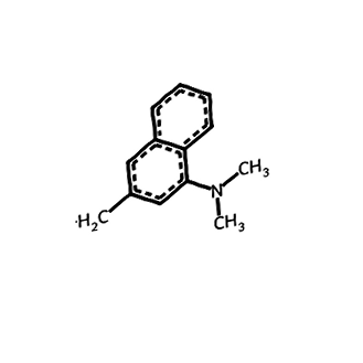 [CH2]c1cc(N(C)C)c2ccccc2c1